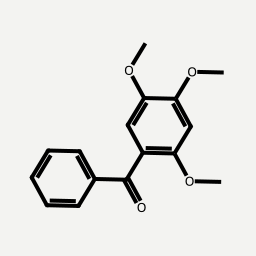 COc1cc(OC)c(C(=O)c2ccccc2)cc1OC